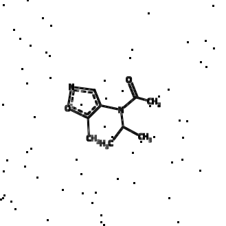 CC(=O)N(c1cnoc1C)C(C)C